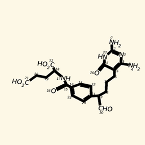 Nc1nc(N)c(CCCC(C=O)c2ccc(C(=O)NC(CCC(=O)O)C(=O)O)cc2)c(=O)[nH]1